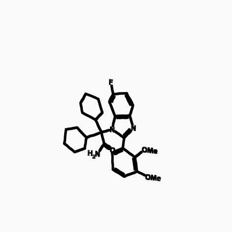 COc1cccc(-c2nc3ccc(F)cc3n2C(C(N)=O)(C2CCCCC2)C2CCCCC2)c1OC